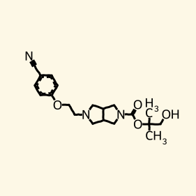 CC(C)(CO)OC(=O)N1CC2CN(CCOc3ccc(C#N)cc3)CC2C1